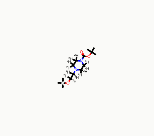 [2H]C([2H])(O[Si](C)(C)C)C([2H])([2H])N1C([2H])([2H])C([2H])([2H])N(C(=O)OC(C)(C)C)C([2H])([2H])C1([2H])[2H]